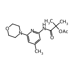 CC(=O)OC(C)(C)C(=O)Nc1cc(C)cc(N2CCOCC2)n1